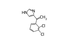 C=C(c1c[nH]cn1)c1cccc(Cl)c1Cl